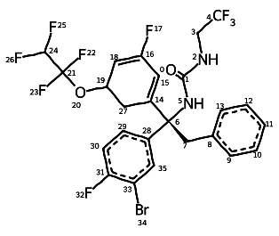 O=C(NCC(F)(F)F)N[C@@](Cc1ccccc1)(C1=CC(F)=CC(OC(F)(F)C(F)F)C1)c1ccc(F)c(Br)c1